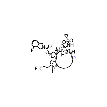 O=C1N[C@]2(C(=O)NS(=O)(=O)C3CC3)C[C@H]2/C=C\CCCCC[C@H](NCCCC(F)(F)F)C(=O)N2C[C@H](OC(=O)N3Cc4cccc(F)c4C3)C[C@@H]12